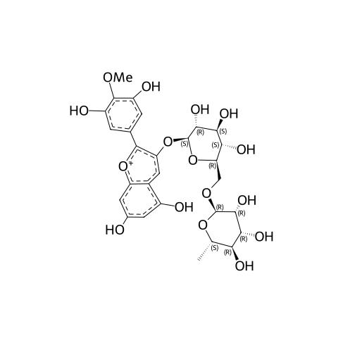 COc1c(O)cc(-c2[o+]c3cc(O)cc(O)c3cc2O[C@@H]2O[C@H](CO[C@@H]3O[C@@H](C)[C@H](O)[C@@H](O)[C@H]3O)[C@@H](O)[C@H](O)[C@H]2O)cc1O